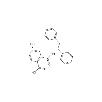 O=C(O)c1ccc(O)cc1C(=O)O.c1ccc(CCc2ccccc2)cc1